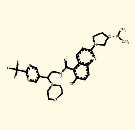 CN(C)[C@H]1CCN(c2ccc3c(C(=O)NCC(c4cnc(C(F)(F)F)nc4)N4CCOCC4)c(Cl)ccc3n2)C1